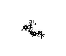 CN1CC(C(=O)N(Cc2cn3ccc(-c4nnc(C(F)F)o4)cc3n2)c2cccc(F)c2)C1